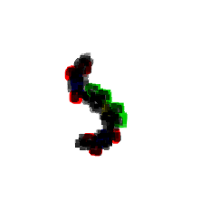 O=C(C=Cc1ccc(Sc2ccc(C=CC(=O)N3CCN(C(=O)c4ccco4)CC3)c(Cl)c2Cl)c(Cl)c1Cl)N1CCN(C(=O)c2ccco2)CC1